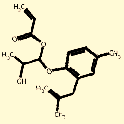 C=CC(=O)OC(Oc1ccc(C)cc1CC(=C)C)C(C)O